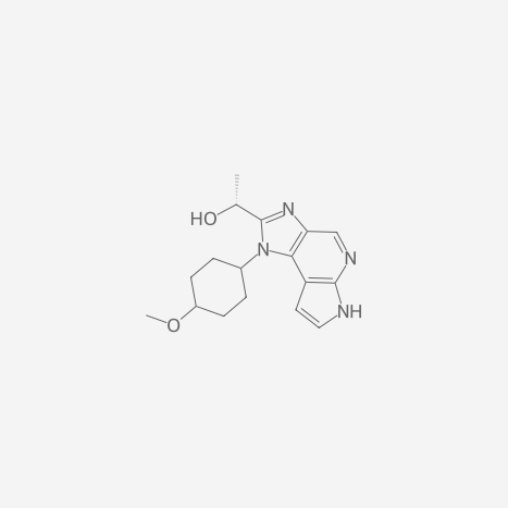 COC1CCC(n2c([C@@H](C)O)nc3cnc4[nH]ccc4c32)CC1